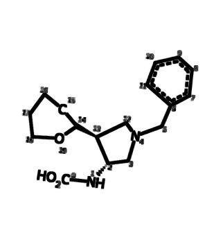 O=C(O)N[C@H]1CN(Cc2ccccc2)C[C@@H]1C1CCCCO1